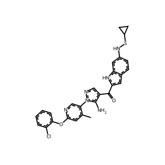 Cc1cc(Oc2ccccc2Cl)ncc1-n1ncc(C(=O)c2cc3ccc(NSC4CC4)cc3[nH]2)c1N